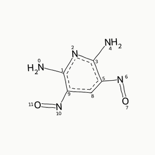 Nc1nc(N)c(N=O)cc1N=O